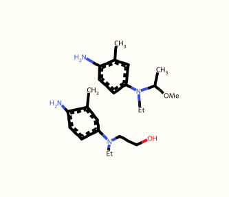 CCN(CCO)c1ccc(N)c(C)c1.CCN(c1ccc(N)c(C)c1)C(C)OC